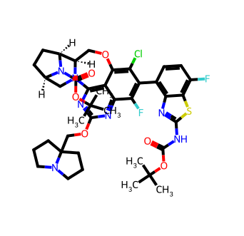 CC(C)(C)OC(=O)Nc1nc2c(-c3c(Cl)c4c5c(nc(OCC67CCCN6CCC7)nc5c3F)N3C[C@H]5CC[C@@H]([C@H]3CO4)N5C(=O)OC(C)(C)C)ccc(F)c2s1